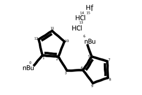 CCCCC1=C(CC2=C(CCCC)C=CC2)CC=C1.Cl.Cl.[Hf]